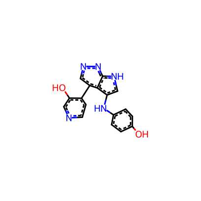 Oc1ccc(Nc2c[nH]c3nncc(-c4ccncc4O)c23)cc1